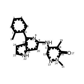 Cc1ccccc1-c1nc(Nc2cnn(C)c(=O)c2C)cc2[nH]ccc12